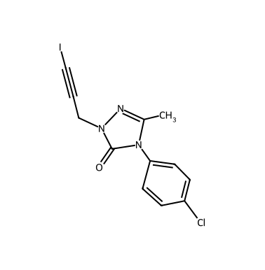 Cc1nn(CC#CI)c(=O)n1-c1ccc(Cl)cc1